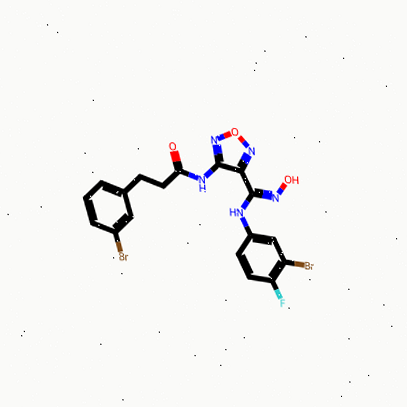 O=C(CCc1cccc(Br)c1)Nc1nonc1/C(=N\O)Nc1ccc(F)c(Br)c1